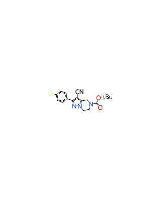 CC(C)(C)OC(=O)N1CCn2nc(-c3ccc(F)cc3)c(C#N)c2C1